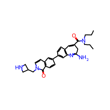 CCCN(CCC)C(=O)C1=Cc2ccc(-c3ccc4c(=O)n(CC5CNC5)ccc4c3)cc2N=C(N)C1